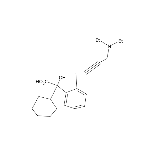 CCN(CC)CC#CCc1ccccc1C(O)(C(=O)O)C1CCCCC1